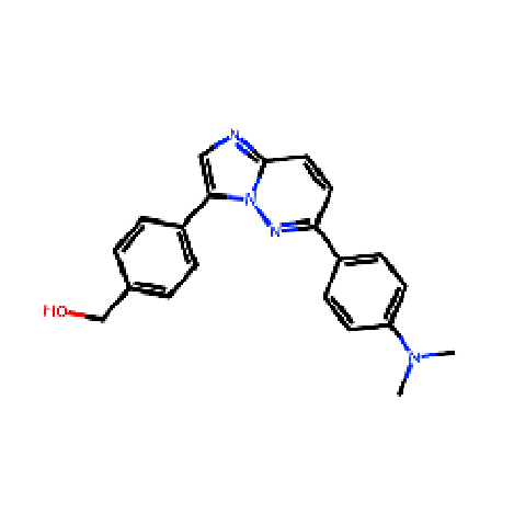 CN(C)c1ccc(-c2ccc3ncc(-c4ccc(CO)cc4)n3n2)cc1